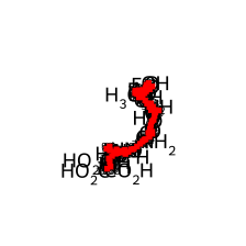 CC[C@@]1(O)C(=O)OCc2c1cc1n(c2=O)Cc2c-1nc1cc(F)c(C)c3c1c2[C@@H](NC(=O)OCc1ccc(NC(=O)[C@@H]2CCCN2C(=O)CNC(=O)CCCCCN2C(=O)CC(SC[C@H](N)C(=O)NCCCCCC(=O)NC[C@H]4CC[C@H](C(=O)N[C@@H](Cc5ccc6ccccc6c5)C(=O)NCCCC[C@H](NC(=O)N[C@@H](CCC(=O)O)C(=O)O)C(=O)O)CC4)C2=O)cc1)CC3